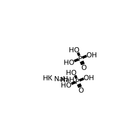 O=P(O)(O)O.O=P(O)(O)O.[KH].[NaH].[NaH]